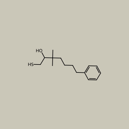 CC(C)(CCCCc1ccccc1)C(O)CS